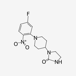 O=C1NCCN1C1CCN(c2cc(F)ccc2[N+](=O)[O-])CC1